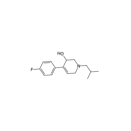 C[C](C)CN1CC=C(c2ccc(F)cc2)C(O)C1